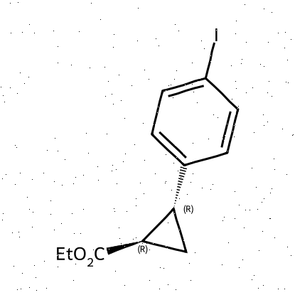 CCOC(=O)[C@@H]1C[C@H]1c1ccc(I)cc1